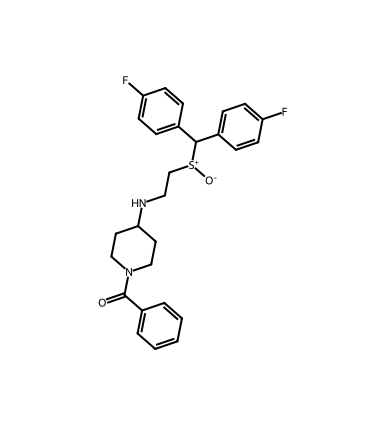 O=C(c1ccccc1)N1CCC(NCC[S+]([O-])C(c2ccc(F)cc2)c2ccc(F)cc2)CC1